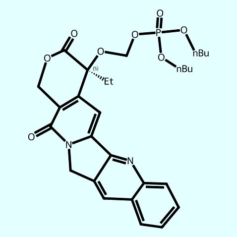 CCCCOP(=O)(OCCCC)OCO[C@]1(CC)C(=O)OCc2c1cc1n(c2=O)Cc2cc3ccccc3nc2-1